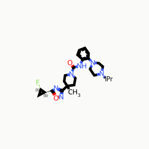 CC(C)N1CCN(c2ccccc2NC(=O)N2CCC(C)(c3noc([C@@H]4C[C@@H]4F)n3)CC2)CC1